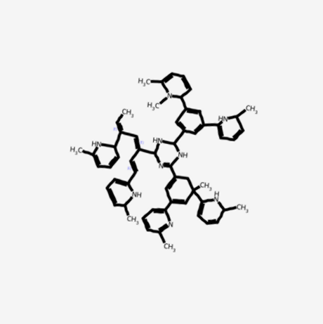 C\C=C(/C=C(\C=C\C1=CC=CC(C)N1)C1N=C(C2=CC(c3cccc(C)n3)=CC(C)(C3=CC=CC(C)N3)C2)NC(c2cc(C3=CC=CC(C)N3)cc(C3C=CC=C(C)N3C)c2)N1)C1C=CC=C(C)N1